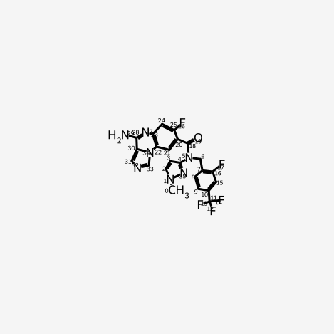 Cn1ccc(N(Cc2ccc(C(F)(F)F)cc2F)C(=O)c2cc3c(cc2F)nc(N)c2cncn23)n1